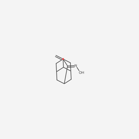 C=CC1C2CC3CC1CC(C2)C3=NO